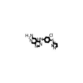 Nc1cc2c(Nc3ccc(Sn4ccnn4)c(Cl)c3)ncnc2cn1